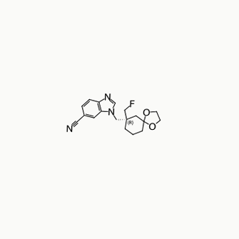 N#Cc1ccc2ncn(C[C@@]3(CF)CCCC4(C3)OCCO4)c2c1